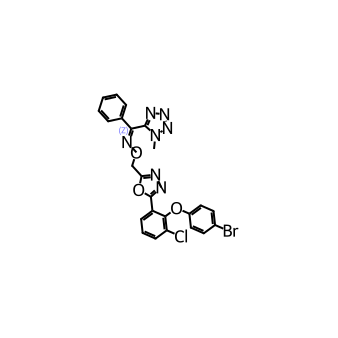 Cn1nnnc1/C(=N\OCc1nnc(-c2cccc(Cl)c2Oc2ccc(Br)cc2)o1)c1ccccc1